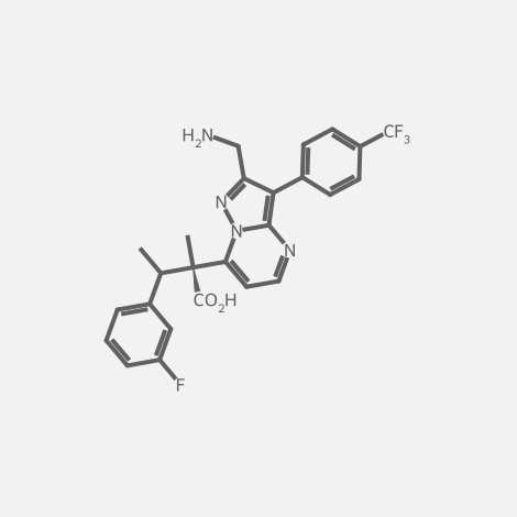 CC(c1cccc(F)c1)[C@@](C)(C(=O)O)c1ccnc2c(-c3ccc(C(F)(F)F)cc3)c(CN)nn12